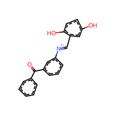 O=C(c1ccccc1)c1cccc(/N=C/c2cc(O)ccc2O)c1